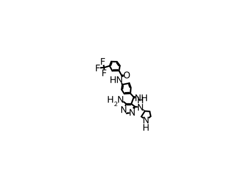 N=C(c1ccc(NC(=O)c2cccc(C(F)(F)F)c2)cc1)c1c(N)ncnc1N[C@H]1CCNC1